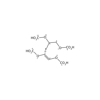 O=C(O)O/C=C/OC(=O)O.O=C(O)OCC(F)OC(=O)O